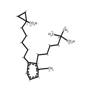 Cc1cccc(CCCCCC2(C(=O)O)CC2)c1CCCCC(C)(C)C(=O)O